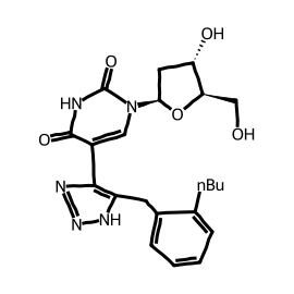 CCCCc1ccccc1Cc1[nH]nnc1-c1cn([C@H]2C[C@H](O)[C@@H](CO)O2)c(=O)[nH]c1=O